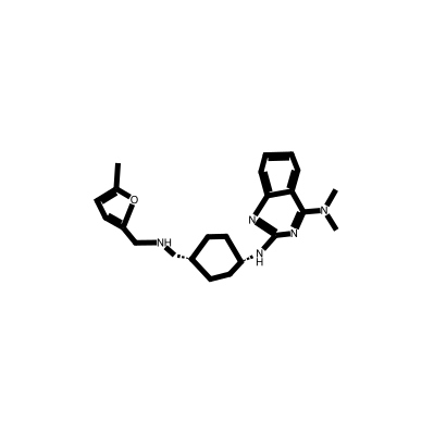 Cc1ccc(CNC[C@H]2CC[C@@H](Nc3nc(N(C)C)c4ccccc4n3)CC2)o1